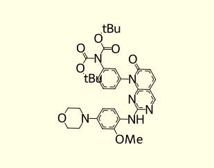 COc1cc(N2CCOCC2)ccc1Nc1ncc2ccc(=O)n(-c3cccc(N(C(=O)OC(C)(C)C)C(=O)OC(C)(C)C)c3)c2n1